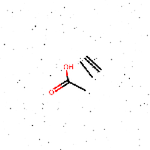 C=C.CC.CC(=O)O